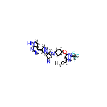 CCc1cc(OC2CCC(N3CC(CC#N)(n4cc(-c5ncnc6[nH]ccc56)cn4)C3)CC2)nc(C(F)(F)F)n1